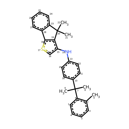 Cc1ccccc1C(C)(C)c1ccc(Nc2csc3c2C(C)(C)c2ccccc2-3)cc1